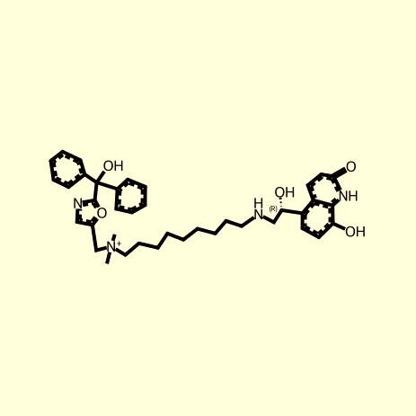 C[N+](C)(CCCCCCCCCNC[C@H](O)c1ccc(O)c2[nH]c(=O)ccc12)Cc1cnc(C(O)(c2ccccc2)c2ccccc2)o1